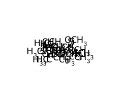 CCC[C@@](C)(C(CC)O[Si](C)(C)C(C)(CC)C(C)(CC)O[SiH](C)C(CC)O[Si](C)(C)C)[Si](C)(CC[Si](C)=O)OC(C)[Si](C)(C)C